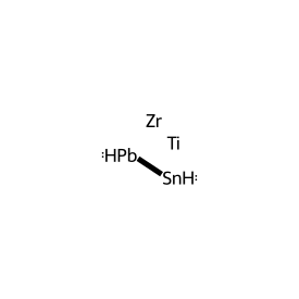 [SnH][PbH].[Ti].[Zr]